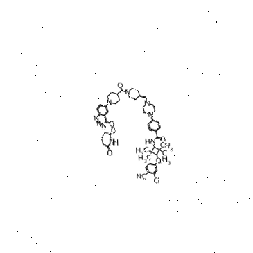 CC1(C)C(NC(=O)c2ccc(N3CCN(C=C4CCN(C(=O)C5CCN(c6ccc7nnn(C8CCC(=O)NC8=O)c(=O)c7c6)CC5)CC4)CC3)cc2)C(C)(C)C1Oc1ccc(C#N)c(Cl)c1